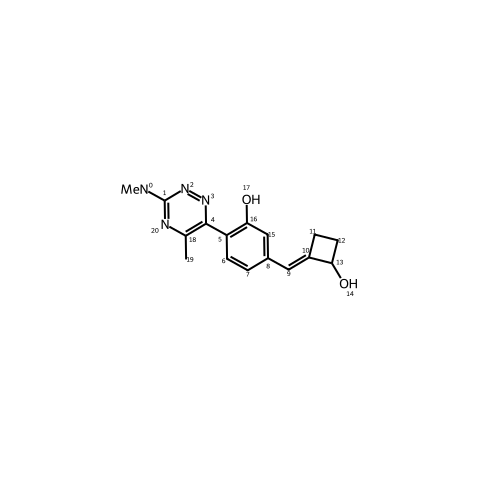 CNc1nnc(-c2ccc(/C=C3\CCC3O)cc2O)c(C)n1